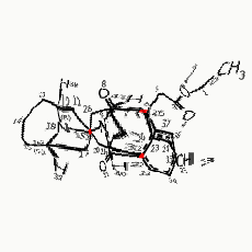 CCOC(=O)Cn1c(=O)n(C2C[C@H]3CCC[C@@H](C2)N3C2C[C@H]3CC(CC)C[C@@H](C2)C3)c(=O)c2ccccc21